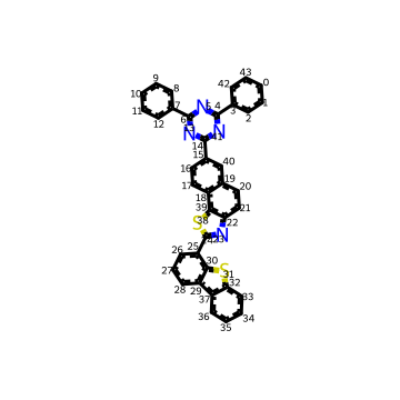 c1ccc(-c2nc(-c3ccccc3)nc(-c3ccc4c(ccc5nc(-c6cccc7c6sc6ccccc67)sc54)c3)n2)cc1